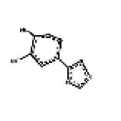 N#Cc1ccc(-c2cs[c]n2)cc1C#N